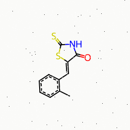 Cc1ccccc1C=C1SC(=S)NC1=O